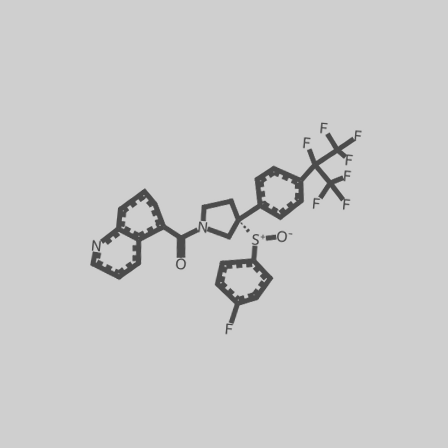 O=C(c1cccc2ncccc12)N1CC[C@](c2ccc(C(F)(C(F)(F)F)C(F)(F)F)cc2)([S+]([O-])c2ccc(F)cc2)C1